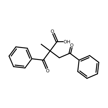 CC(CC(=O)c1ccccc1)(C(=O)O)C(=O)c1ccccc1